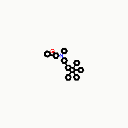 c1ccc(-c2c(-c3ccccc3)c(-c3ccccc3)c3cc(-c4ccc(N(c5ccccc5)c5ccc6c(c5)oc5ccccc56)cc4)ccc3c2-c2ccccc2)cc1